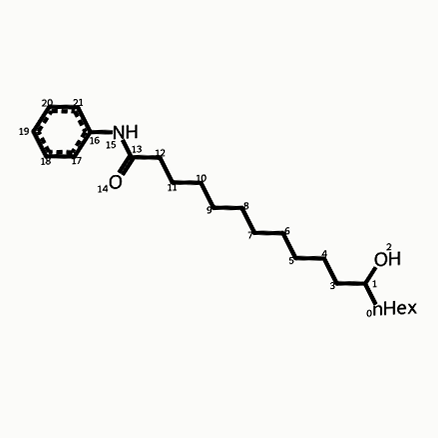 CCCCCCC(O)CCCCCCCCCCC(=O)Nc1ccccc1